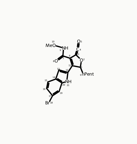 CCCCCC1OC(=C=O)C(C(=O)NOC)=C1c1cc2ccc(Br)cc2[nH]1